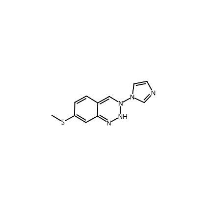 CSc1ccc2c(c1)=NNN(n1ccnc1)C=2